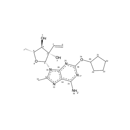 C=C[C@]1(O)[C@H](O)[C@@H](C)O[C@H]1n1c(C)nc2c(N)nc(OC3CCCC3)nc21